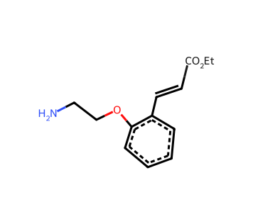 CCOC(=O)/C=C/c1ccccc1OCCN